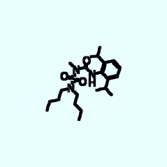 CCCCN(CCCC)S(=O)(=O)N(C)C(=O)Nc1c(C(C)C)cccc1C(C)C